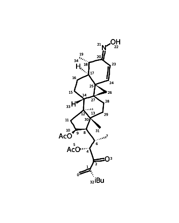 C=C(C(=O)[C@H](OC(C)=O)[C@@H](C)[C@H]1[C@@H](OC(C)=O)C[C@@]2(C)[C@@H]3CC[C@H]4[C@H](C)/C(=N/O)C=C[C@@]45C[C@@]35CC[C@]12C)[C@@H](C)CC